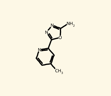 Cc1ccnc(-c2nnc(N)o2)c1